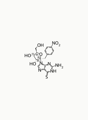 Nc1nc2c(ncn2[C@]2(Cc3ccc([N+](=O)[O-])cc3)O[C@H](CO)[C@@H](O)[C@H]2O)c(=S)[nH]1